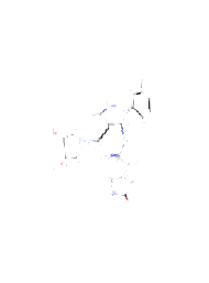 O=C1C[C@H](Nc2nc(N3C[C@H](O)[C@@H](O)C3)c3cnn(-c4cccc(C(F)(F)F)c4)c3n2)CN1